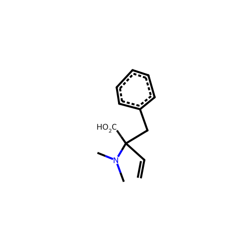 C=CC(Cc1ccccc1)(C(=O)O)N(C)C